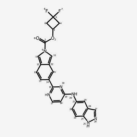 O=C(OC1CC(F)(F)C1)n1cc2ccc(-c3nccc(Nc4ccc5[nH]ncc5c4)n3)cc2c1